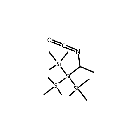 CC(N=C=O)[Si]([Si](C)(C)C)([Si](C)(C)C)[Si](C)(C)C